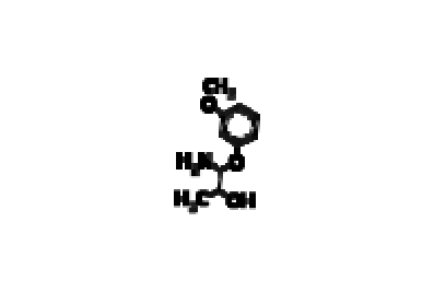 COc1cccc(OC(N)C(C)O)c1